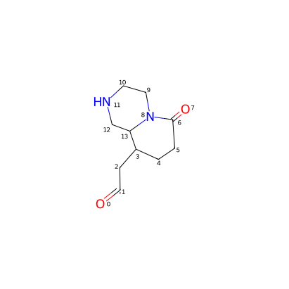 O=[C]CC1CCC(=O)N2CCNCC12